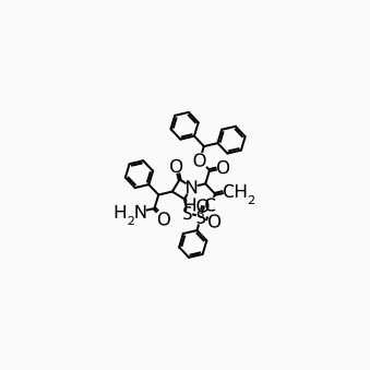 C=C(C)C(C(=O)OC(c1ccccc1)c1ccccc1)N1C(=O)C(C(C(N)=O)c2ccccc2)C1SS(=O)(=O)c1ccccc1